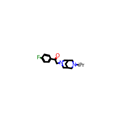 CC(C)N1CC2CC(CN(CC(=O)c3ccc(F)cc3)C2)C1